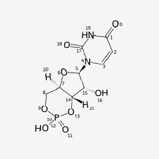 O=c1ccn([C@@H]2O[C@@H]3COP(=O)(O)O[C@H]3[C@H]2O)c(=O)[nH]1